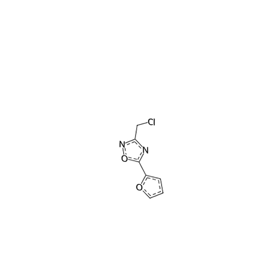 ClCc1noc(-c2ccco2)n1